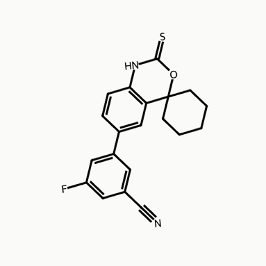 N#Cc1cc(F)cc(-c2ccc3c(c2)C2(CCCCC2)OC(=S)N3)c1